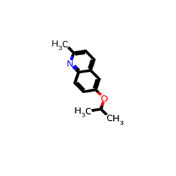 Cc1ccc2cc(OC(C)C)ccc2n1